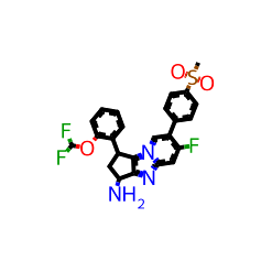 CS(=O)(=O)c1ccc(-c2cn3c4c(nc3cc2F)C(N)CC4c2ccccc2OC(F)F)cc1